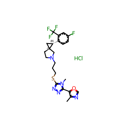 Cc1ncoc1-c1nnc(SCCCN2CC[C@]3(C[C@@H]3c3ccc(F)cc3C(F)(F)F)C2)n1C.Cl